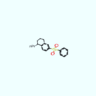 CCCC1CCCc2cc(S(=O)(=O)c3ccccc3)ccc21